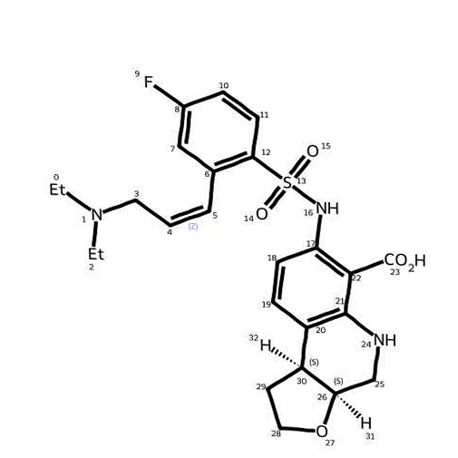 CCN(CC)C/C=C\c1cc(F)ccc1S(=O)(=O)Nc1ccc2c(c1C(=O)O)NC[C@H]1OCC[C@@H]21